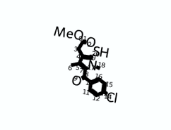 COC(=O)Cc1c(C)c(C(=O)c2ccc(Cl)cc2)n(C)c1S